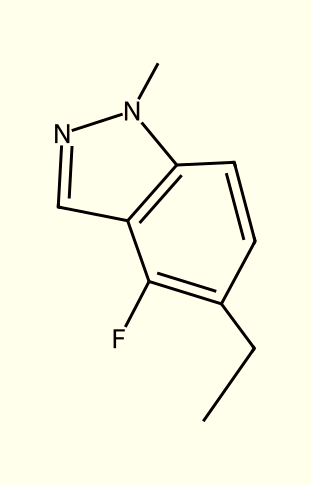 CCc1ccc2c(cnn2C)c1F